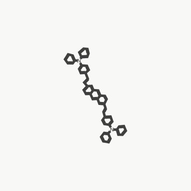 C(=Cc1ccc2cc3cc(C=Cc4ccc(N(c5ccccc5)c5ccccc5)cc4)ccc3cc2c1)c1ccc(N(c2ccccc2)c2ccccc2)cc1